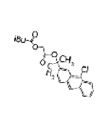 CCC(C)C(=O)OCC(=O)OC(C)(C)c1ccc2cc3ccccc3c(Cl)c2c1